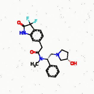 CN(C(=O)Cc1ccc2c(c1)NC(=O)C2(F)F)[C@H](CN1CC[C@H](O)C1)c1ccccc1